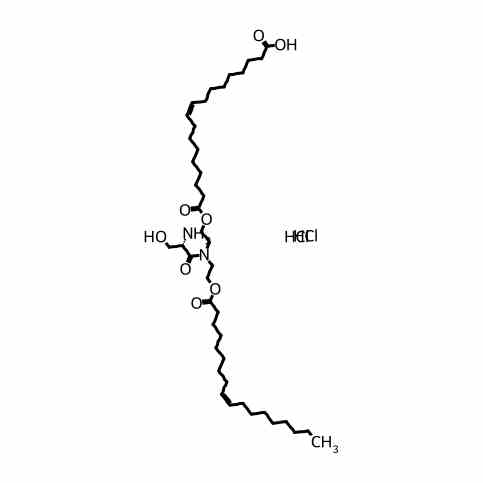 CCCCCCCC/C=C\CCCCCCCC(=O)OCCN(CCOC(=O)CCCCCCC/C=C\CCCCCCCC(=O)O)C(=O)[C@@H](N)CO.Cl.Cl